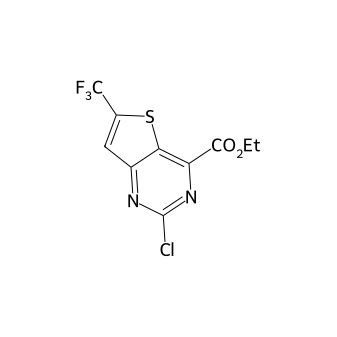 CCOC(=O)c1nc(Cl)nc2cc(C(F)(F)F)sc12